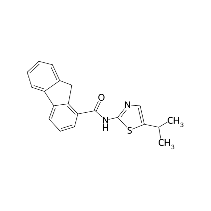 CC(C)c1cnc(NC(=O)c2cccc3c2Cc2ccccc2-3)s1